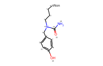 CCCCCCCCCCCCN(Cc1ccc(O)cc1)C(N)=O